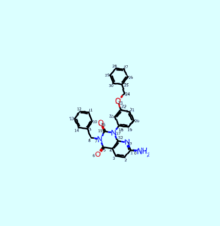 Nc1ccc2c(=O)n(Cc3ccccc3)c(=O)n(-c3cccc(OCc4ccccc4)c3)c2n1